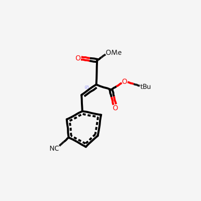 COC(=O)/C(=C/c1cccc(C#N)c1)C(=O)OC(C)(C)C